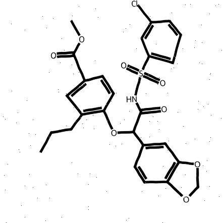 CCCc1cc(C(=O)OC)ccc1OC(C(=O)NS(=O)(=O)c1cccc(Cl)c1)c1ccc2c(c1)OCO2